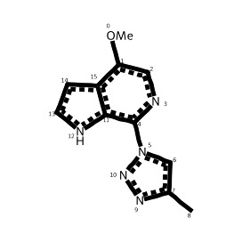 COc1cnc(-n2cc(C)nn2)c2[nH]ccc12